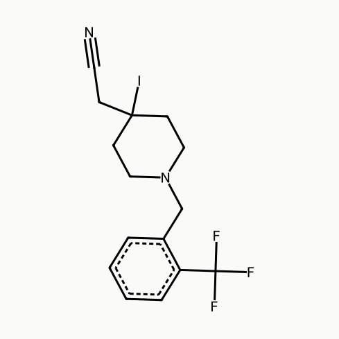 N#CCC1(I)CCN(Cc2ccccc2C(F)(F)F)CC1